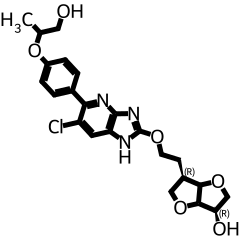 CC(CO)Oc1ccc(-c2nc3nc(OCC[C@@H]4COC5C4OC[C@H]5O)[nH]c3cc2Cl)cc1